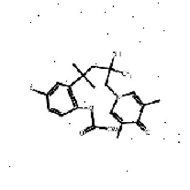 COC(=O)Oc1ccc(F)cc1C(C)(C)CC(O)(Cn1cc(C)c(=O)c(C)c1)C(F)(F)F